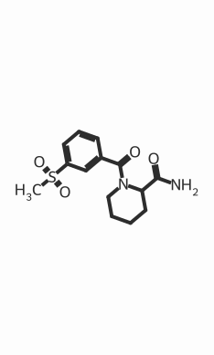 CS(=O)(=O)c1cccc(C(=O)N2CCCCC2C(N)=O)c1